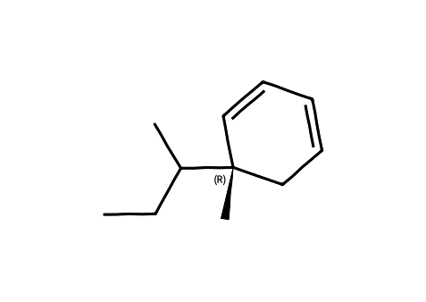 CCC(C)[C@]1(C)C=CC=CC1